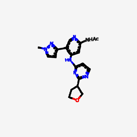 CC(=O)Nc1cc(Nc2ccnc(C3CCOC3)n2)c(-c2ccn(C)n2)cn1